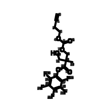 C#CCCOC(=O)OCC(C)(CO)C(=O)Oc1c(F)c(F)c(F)c(F)c1F